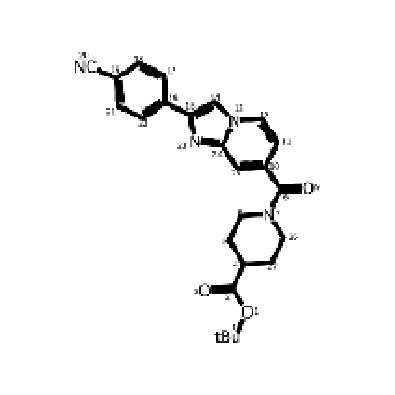 CC(C)(C)OC(=O)C1CCN(C(=O)c2ccn3cc(-c4ccc(C#N)cc4)nc3c2)CC1